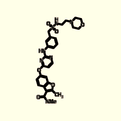 CNC(=O)c1c(C)oc2cc(Oc3ccnc(Nc4cccc(CS(=O)(=O)NCCN5CCOCC5)c4)n3)ccc12